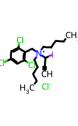 C#CC(I)[N+](CCCCC)(CCCCC)Cc1c(Cl)cc(Cl)cc1Cl.[Cl-]